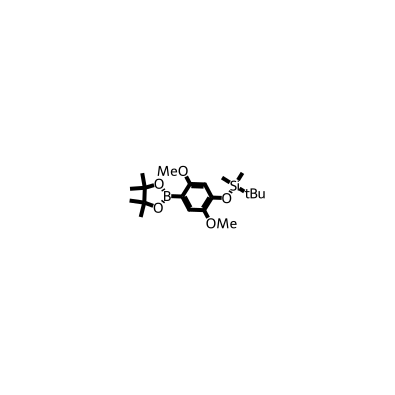 COc1cc(B2OC(C)(C)C(C)(C)O2)c(OC)cc1O[Si](C)(C)C(C)(C)C